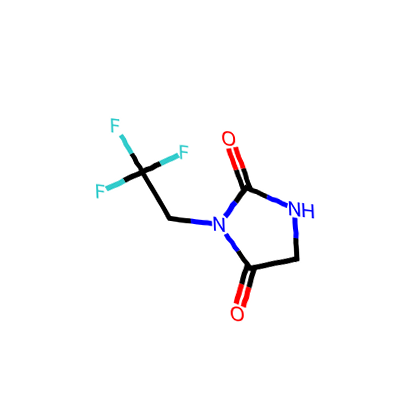 O=C1CNC(=O)N1CC(F)(F)F